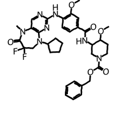 COc1cc(C(=O)NC2CN(C(=O)OCc3ccccc3)CCC2OC)ccc1Nc1ncc2c(n1)N(C1CCCC1)CC(F)(F)C(=O)N2C